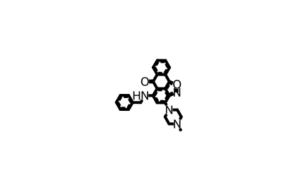 CN1CCN(c2cc(NCc3ccccc3)c3c4c(onc24)-c2ccccc2C3=O)CC1